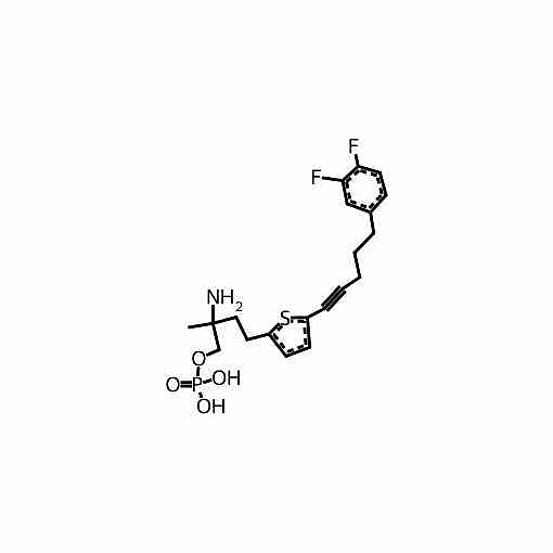 CC(N)(CCc1ccc(C#CCCCc2ccc(F)c(F)c2)s1)COP(=O)(O)O